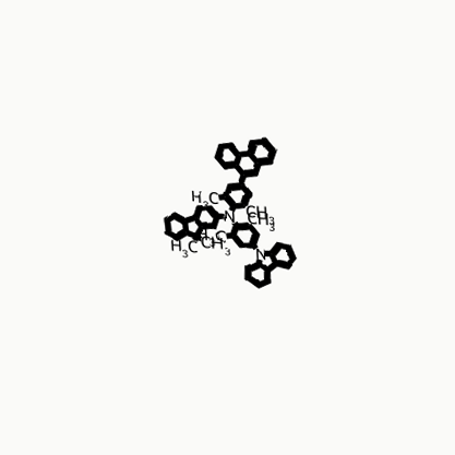 Cc1cc(-c2cc3ccccc3c3ccccc23)cc(C)c1N(c1ccc2c(c1)C(C)(C)c1ccccc1-2)c1c(C)cc(-n2c3ccccc3c3ccccc32)cc1C